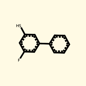 Fc1cc(S)cc(-c2ccccc2)c1